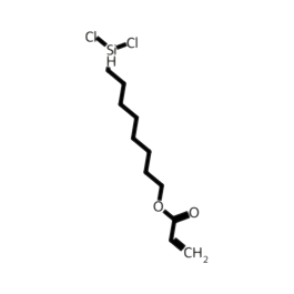 C=CC(=O)OCCCCCCCC[SiH](Cl)Cl